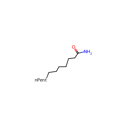 CCCCCCCCCCCC(N)=O